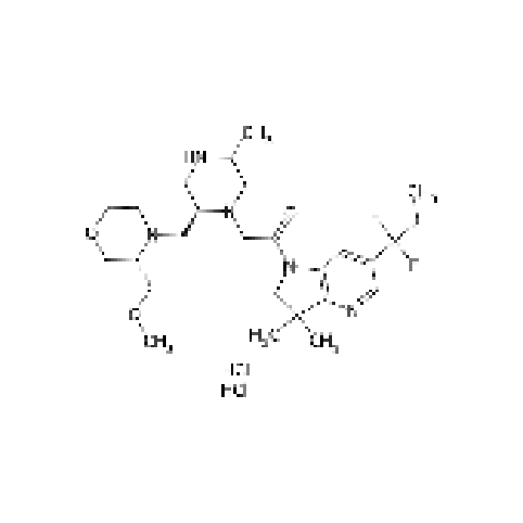 CCC(F)(F)c1cnc2c(c1)N(C(=O)CN1C[C@@H](C)NC[C@@H]1CN1CCOC[C@H]1COC)CC2(C)C.Cl.Cl